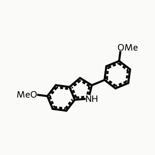 COc1cccc(-c2cc3cc(OC)ccc3[nH]2)c1